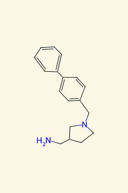 NCC1CCN(Cc2ccc(-c3ccccc3)cc2)C1